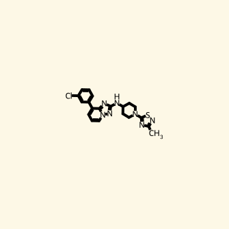 Cc1nsc(N2CCC(Nc3nc4c(-c5cccc(Cl)c5)cccn4n3)CC2)n1